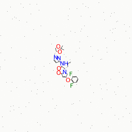 CCC[C@@H](C(=O)Nc1ccn(C[C@@H]2COC(C)(C)O2)n1)N1CC(Oc2c(F)cccc2F)=CC1=O